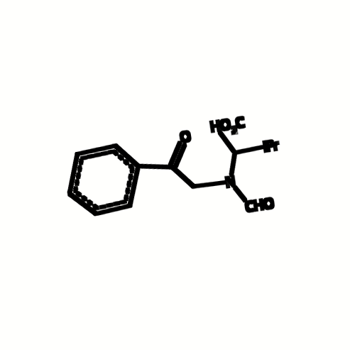 CC(C)C(C(=O)O)N(C=O)CC(=O)c1ccccc1